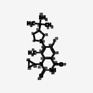 Cc1c(N2CC[C@@H](C(C)(C)N)C2)c(F)cc2c(=O)[nH]c(=O)n(C3CC3)c12